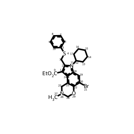 CCOC(=O)c1c(CSc2ccccc2)n(C2CCCCC2)c2cc(Br)c3c(c12)CN(C)CO3